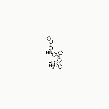 CC1(C)c2ccccc2-c2ccc(-n3c4ccccc4c4cc(Nc5ccc(-c6ccc7ccccc7c6)cc5)ccc43)cc21